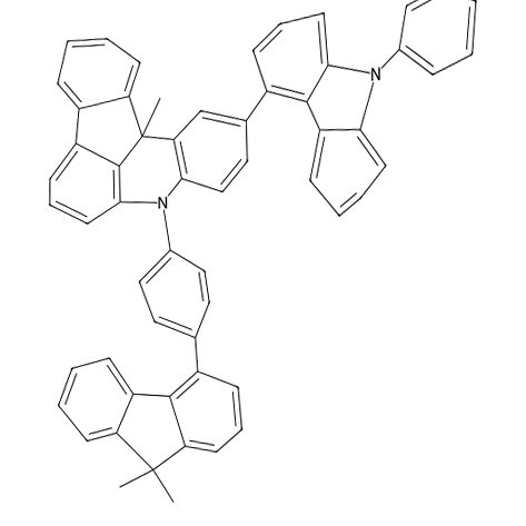 CC1(C)c2ccccc2-c2c(-c3ccc(N4c5ccc(-c6cccc7c6c6ccccc6n7-c6ccccc6)cc5C5(C)c6ccccc6-c6cccc4c65)cc3)cccc21